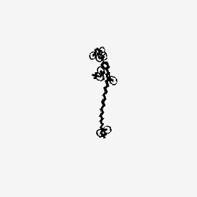 CC(C)(C)OC(=O)CCCCCCCCCCCCCCCC(=O)N(Cc1ccc(C(=O)ON2C(=O)CCC2=O)cc1)C(=O)OC(C)(C)C